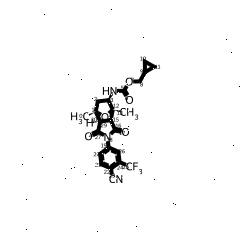 C[C@]12C[C@@H](NC(=O)OCC3CC3)[C@](C)(O1)C1C(=O)N(c3ccc(C#N)c(C(F)(F)F)c3)C(=O)[C@H]12